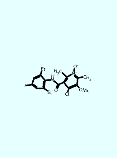 CCc1cc(I)cc(CC)c1NC(=O)c1c(Cl)c(OC)c(C)[n+]([O-])c1C